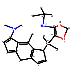 CC1=C2C(=CC=C2N(C)C)CC2=C1C([Si](C)(C)C1=C(NC(C)(C)C)OCO1)C=C2